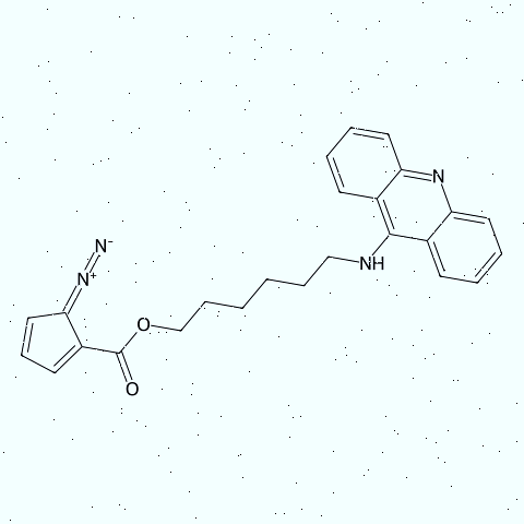 [N-]=[N+]=C1C=CC=C1C(=O)OCCCCCCNc1c2ccccc2nc2ccccc12